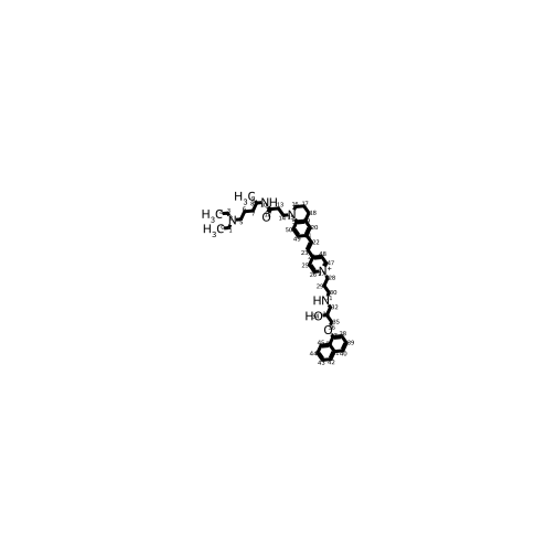 CCN(CC)CCCC(C)NC(=O)CCN1CCCc2cc(C=Cc3cc[n+](CCCNCC(O)COc4cccc5ccccc45)cc3)ccc21